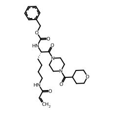 C=CC(=O)NCCCC[C@H](NC(=O)OCc1ccccc1)C(=O)N1CCN(C(=O)C2CCOCC2)CC1